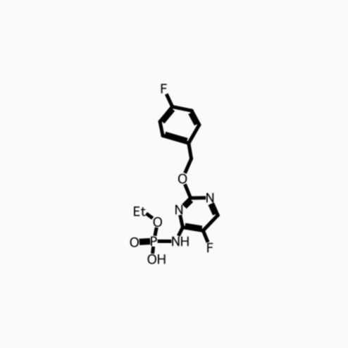 CCOP(=O)(O)Nc1nc(OCc2ccc(F)cc2)ncc1F